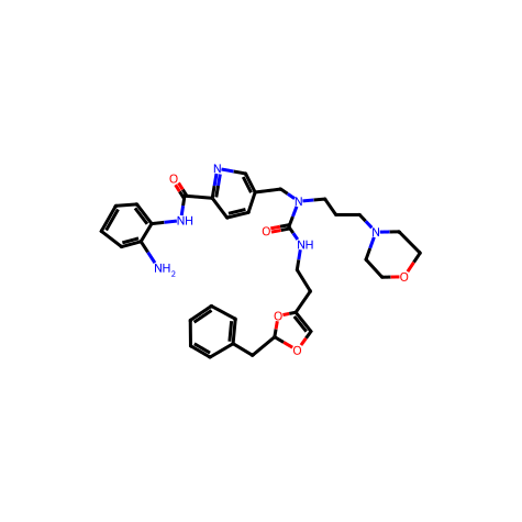 Nc1ccccc1NC(=O)c1ccc(CN(CCCN2CCOCC2)C(=O)NCCC2=COC(Cc3ccccc3)O2)cn1